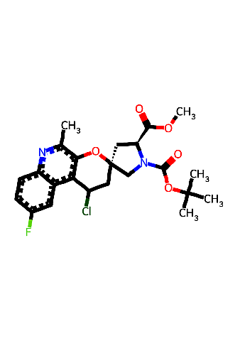 COC(=O)[C@@H]1C[C@@]2(CC(Cl)c3c(c(C)nc4ccc(F)cc34)O2)CN1C(=O)OC(C)(C)C